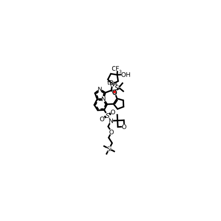 CC1(N(COCC[Si](C)(C)C)S(=O)(=O)c2ccc3cnc(C(=O)N4CCC(O)(C(F)(F)F)C4)n3c2C2=C(O[Si](C)(C)C(C)(C)C)CCC2)COC1